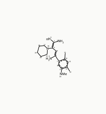 CCC/C(N)=C(/C=C(\N)c1cc(NC)c(C)cc1C)N1CCCCC1